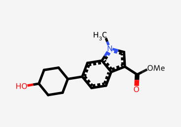 COC(=O)c1cn(C)c2cc(C3CCC(O)CC3)ccc12